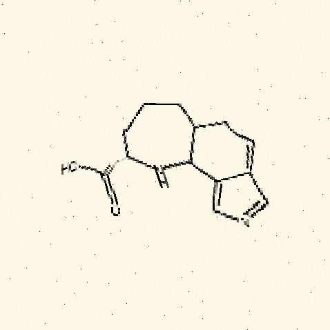 O=C(O)[C@@H]1CCCC2CC=C3C=NC=C3C2N1